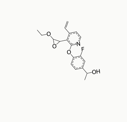 C=Cc1ccnc(Oc2ccc(C(C)O)cc2F)c1C1OC1OCC